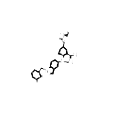 Cc1nnc(-c2ccc3c(c2)C(N)=NCN3c2ccc3c(cnn3Cc3cccc(F)c3F)c2)o1